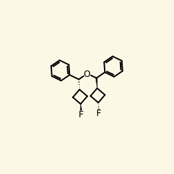 F[C@H]1C[C@H](C(OC(c2ccccc2)[C@H]2C[C@H](F)C2)c2ccccc2)C1